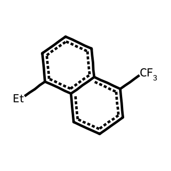 CCc1cccc2c(C(F)(F)F)cccc12